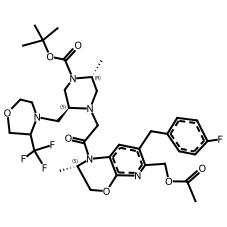 CC(=O)OCc1nc2c(cc1Cc1ccc(F)cc1)N(C(=O)CN1C[C@@H](C)N(C(=O)OC(C)(C)C)C[C@@H]1CN1CCOCC1C(F)(F)F)[C@@H](C)CO2